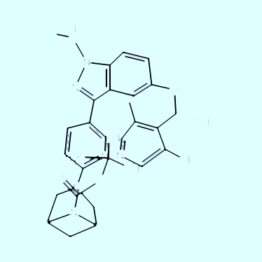 C[C@@H](Oc1ccc2c(c1)c(-c1ccc(N3CC4CC(C3)N4C(=O)OC(C)(C)C)nc1)nn2PI)c1c(Cl)cncc1Cl